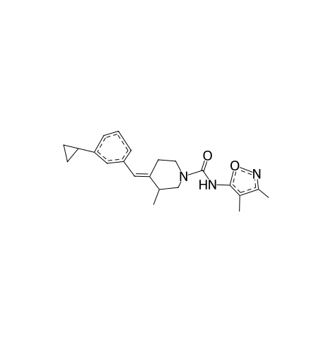 Cc1noc(NC(=O)N2CCC(=Cc3cccc(C4CC4)c3)C(C)C2)c1C